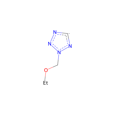 CCOCn1n[c]nn1